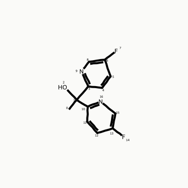 CC(O)(c1ccc(F)cn1)c1ccc(F)cn1